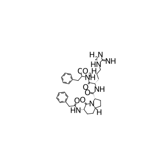 N=C(N)NCCC[C@H](NC(=O)[C@@H]1CC[C@@H]2CC[C@H](NC(=O)Cc3ccccc3)C(=O)N21)C(=O)N[C@@H](Cc1ccccc1)C(=O)O